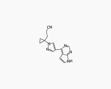 N#CCCC1(n2cc(-c3ncnc4[nH]ccc34)cn2)CC1